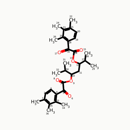 Cc1ccc(C(=O)C(=O)OC(CC(OC(=O)C(=O)c2ccc(C)c(C)c2C)C(C)C)C(C)C)c(C)c1C